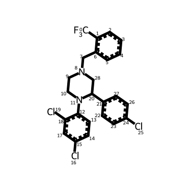 FC(F)(F)c1ccccc1CN1CCN(c2ccc(Cl)cc2Cl)C(c2ccc(Cl)cc2)C1